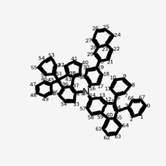 c1ccc(-c2c(-c3ccccc3)c3cc(N(c4ccc(-c5ccc6ccccc6c5)cc4)c4cccc5c4-c4ccccc4C5(c4ccccc4)c4ccccc4)ccc3c3ccccc23)cc1